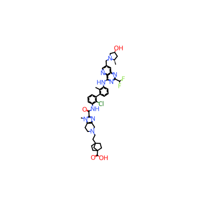 Cc1c(Nc2nc(C(F)F)nc3cc(CN4C[C@@H](O)C[C@H]4C)cnc23)cccc1-c1cccc(NC(=O)c2nc3c(n2C)CCN(CCC24CCC(C(=O)O)(CC2)C4)C3)c1Cl